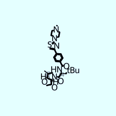 C[C@H]1CN(C(=O)[C@H](CC(C)(C)C)NC(=O)c2ccc(-c3csc(N4CCN(C)CC4)n3)cc2)[C@@H]2C(=O)CO[C@@H]21